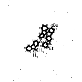 CCc1ccc(N(c2ccc3c(c2)C2(c4ccccc4-3)c3cc(C(C)(C)C)ccc3-c3ccc(C(C)(C)C)cc32)c2ccc3c(c2)C(C)(C)C2C=CC=CC32)cc1